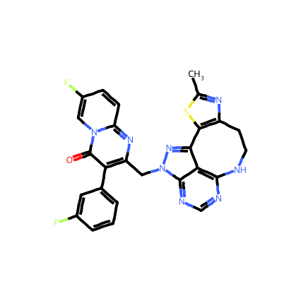 Cc1nc2c(s1)-c1nn(Cc3nc4ccc(F)cn4c(=O)c3-c3cccc(F)c3)c3ncnc(c13)NCC2